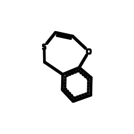 C1=CSCc2ccccc2O1